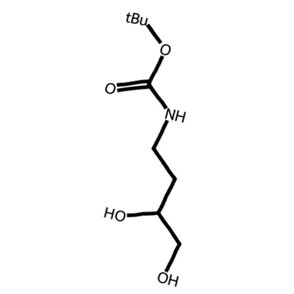 CC(C)(C)OC(=O)NCCC(O)CO